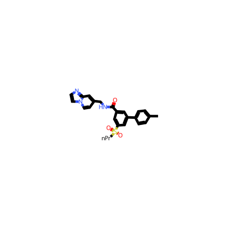 CCCS(=O)(=O)c1cc(C(=O)NCc2ccn3ccnc3c2)cc(-c2ccc(C)cc2)c1